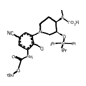 CC(C)[Si](O[C@H]1CN(c2cc(C#N)cc(NC(=O)OC(C)(C)C)c2Cl)CC[C@H]1N(C)C(=O)O)(C(C)C)C(C)C